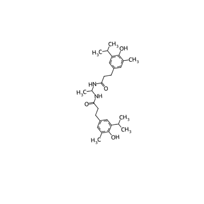 Cc1cc(CCC(=O)NC(C)NC(=O)CCc2cc(C)c(O)c(C(C)C)c2)cc(C(C)C)c1O